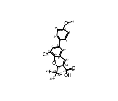 COc1ccc(-c2cc(Cl)c3c(c2)C=C(C(=O)O)C(C(F)(F)F)O3)cc1